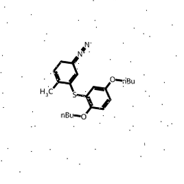 CCCCOc1ccc(OCCCC)c(SC2=CC(=[N+]=[N-])CC=C2C)c1